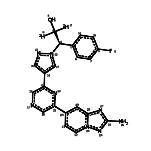 [2H]C([2H])(O)[C@@H](c1ccc(F)cc1)n1cc(-c2cncc(-c3ccn4nc(N)nc4c3)n2)cn1